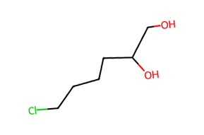 OCC(O)CCCCCl